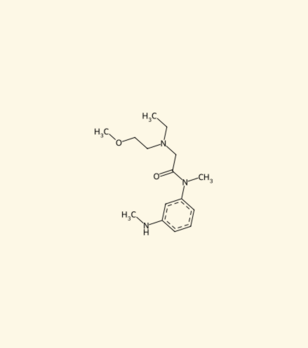 CCN(CCOC)CC(=O)N(C)c1cccc(NC)c1